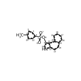 Cc1ccc(S(=O)(=O)Oc2c[nH]c3ccc4ccccc4c23)cc1